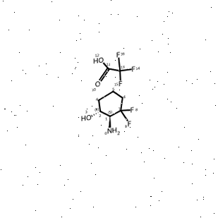 N[C@H]1[C@H](O)CCCC1(F)F.O=C(O)C(F)(F)F